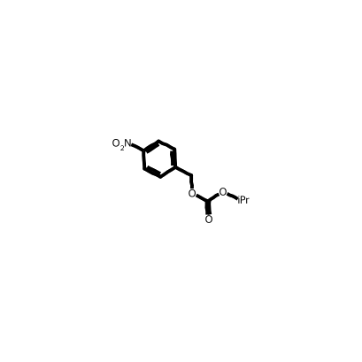 CC(C)OC(=O)OCc1ccc([N+](=O)[O-])cc1